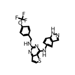 FC(F)(F)Oc1ccc(CNc2nc(Nc3ccc4[nH]ncc4c3)c3sccc3n2)cc1